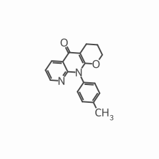 Cc1ccc(-n2c3c(c(=O)c4cccnc42)CCCO3)cc1